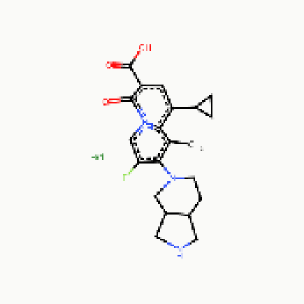 Cc1c(N2CCC3CNCC3C2)c(F)cn2c(=O)c(C(=O)O)cc(C3CC3)c12.Cl